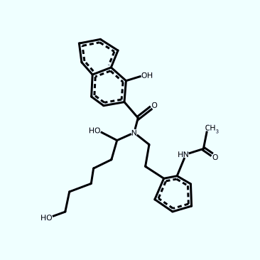 CC(=O)Nc1ccccc1CCN(C(=O)c1ccc2ccccc2c1O)C(O)CCCCCO